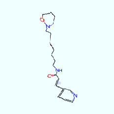 O=C(/C=C/c1cccnc1)NCCCCCCCN1CCCCO1